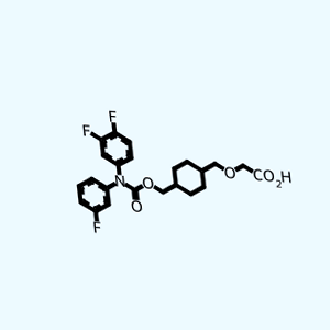 O=C(O)COCC1CCC(COC(=O)N(c2cccc(F)c2)c2ccc(F)c(F)c2)CC1